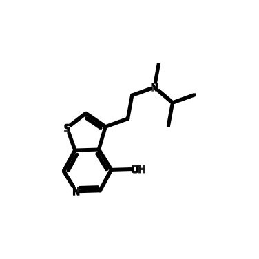 CC(C)N(C)CCc1csc2cncc(O)c12